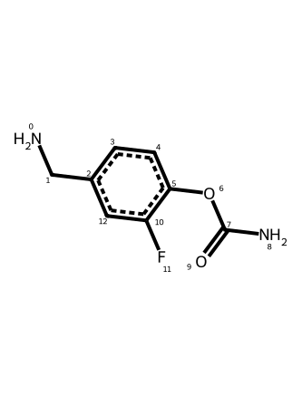 NCc1ccc(OC(N)=O)c(F)c1